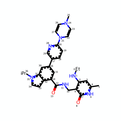 CCNc1cc(C)[nH]c(=O)c1CNC(=O)c1cc(-c2ccc(N3C=CN(C)C=C3)nc2)cc2c1ccn2C(C)C